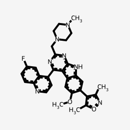 COc1cc2c(cc1-c1c(C)noc1C)[nH]c1nc(CN3CCN(C)CC3)nc(-c3ccnc4ccc(F)cc34)c12